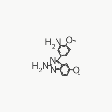 COc1ccc2nc(N)nc(-c3ccc(OC)c(N)c3)c2c1